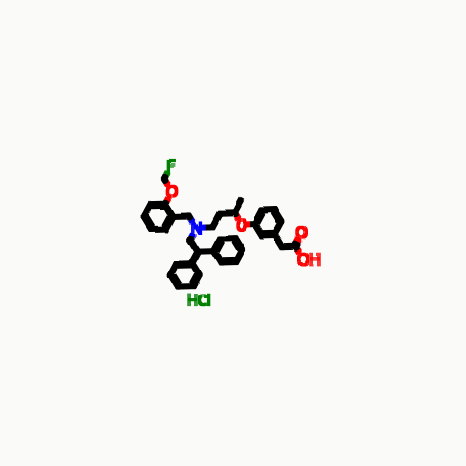 CC(CCN(Cc1ccccc1OCF)CC(c1ccccc1)c1ccccc1)Oc1cccc(CC(=O)O)c1.Cl